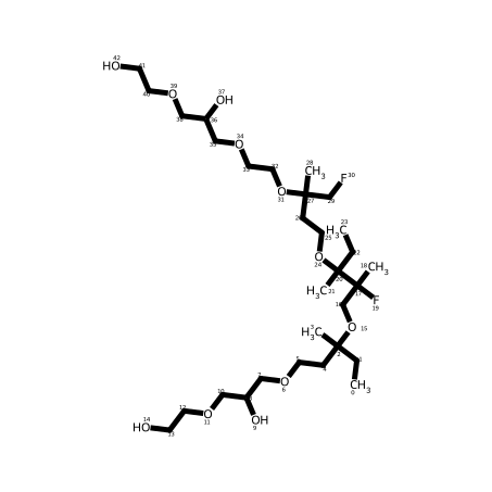 CCC(C)(CCOCC(O)COCCO)OCC(C)(F)C(C)(CC)OCCC(C)(CF)OCCOCC(O)COCCO